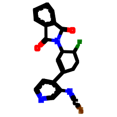 O=C1c2ccccc2C(=O)N1C1C=C(c2ccncc2N=C=S)CCC1F